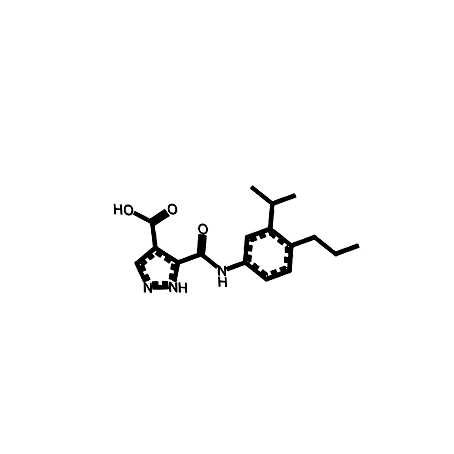 CCCc1ccc(NC(=O)c2[nH]ncc2C(=O)O)cc1C(C)C